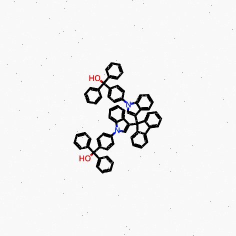 OC(c1ccccc1)(c1ccccc1)c1ccc(-n2cc(C3(c4cn(-c5ccc(C(O)(c6ccccc6)c6ccccc6)cc5)c5ccccc45)c4ccccc4-c4ccccc43)c3ccccc32)cc1